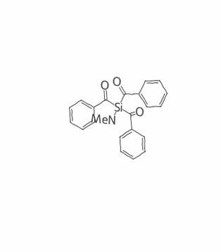 CN[Si](C(=O)c1ccccc1)(C(=O)c1ccccc1)C(=O)c1ccccc1